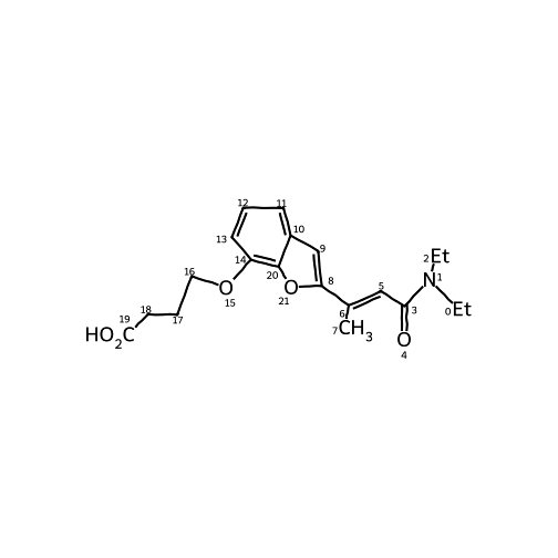 CCN(CC)C(=O)C=C(C)c1cc2cccc(OCCCC(=O)O)c2o1